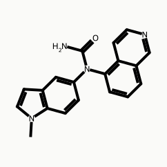 Cn1ccc2cc(N(C(N)=O)c3cccc4cnccc34)ccc21